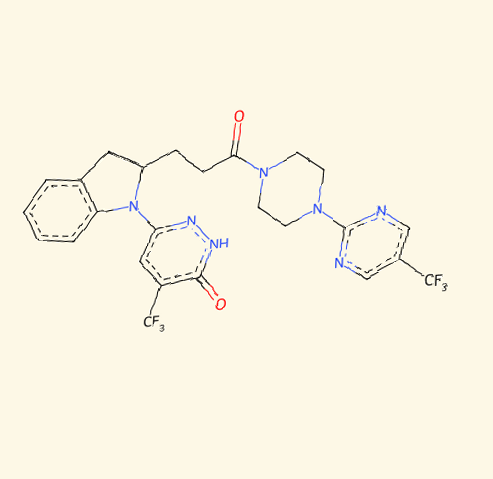 O=C(CCC1Cc2ccccc2N1c1cc(C(F)(F)F)c(=O)[nH]n1)N1CCN(c2ncc(C(F)(F)F)cn2)CC1